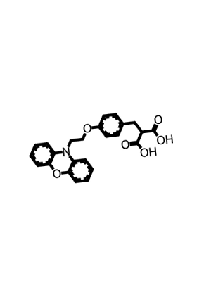 O=C(O)C(Cc1ccc(OCCN2c3ccccc3Oc3ccccc32)cc1)C(=O)O